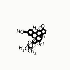 C#Cc1ccc2c(c1)C[C@]13CCC4(C[C@]1(O)CC[C@@H]1C3C2C[C@]2(C)C(=O)CC[C@@H]12)OCC(C)(C)CO4